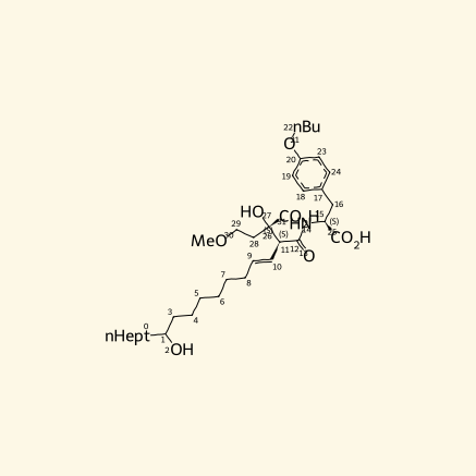 CCCCCCCC(O)CCCCCCC=C[C@H](C(=O)N[C@@H](Cc1ccc(OCCCC)cc1)C(=O)O)[C@@](O)(CCOC)C(=O)O